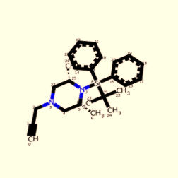 C#CCN1C[C@@H](C)N([Si](c2ccccc2)(c2ccccc2)C(C)(C)C)[C@@H](C)C1